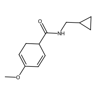 COC1=CCC(C(=O)NCC2CC2)C=C1